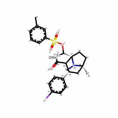 CCC(OS(=O)(=O)c1cccc(C)c1)[C@@]12CC[C@@H](C[C@H](c3ccc(I)cc3)C1C(=O)OC)N2C